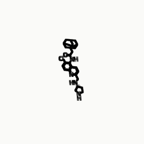 O=C(CC12CC3CC(CC(C3)C1)C2)Nc1c(Cl)ccc2nc(CN[C@@H]3CCNC3)ccc12